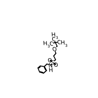 CC(C)(C)COCCCS(=O)(=O)NCc1ccccc1